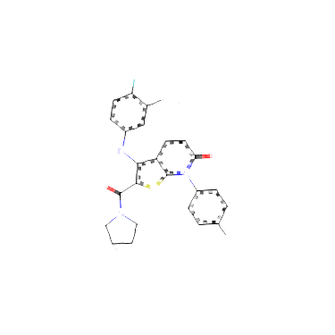 Cc1ccc(-n2c(=O)ccc3c(Nc4ccc(F)c(C)c4)c(C(=O)N4CC[C@H](O)C4)sc32)cc1